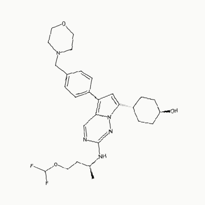 C[C@@H](CCOC(F)F)Nc1ncc2c(-c3ccc(CN4CCOCC4)cc3)cc([C@H]3CC[C@H](O)CC3)n2n1